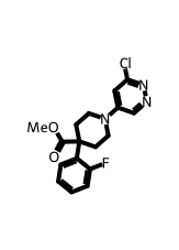 COC(=O)C1(c2ccccc2F)CCN(c2cnnc(Cl)c2)CC1